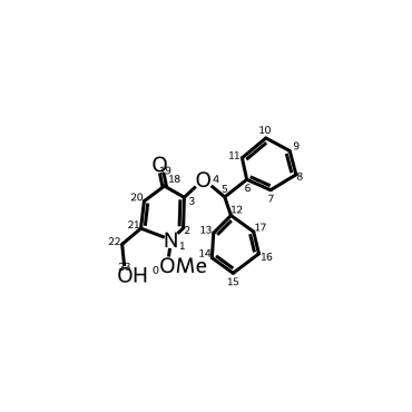 COn1cc(OC(c2ccccc2)c2ccccc2)c(=O)cc1CO